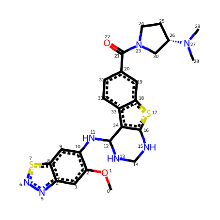 COc1cc2nnsc2cc1NC1NCNc2sc3cc(C(=O)N4CC[C@H](N(C)C)C4)ccc3c21